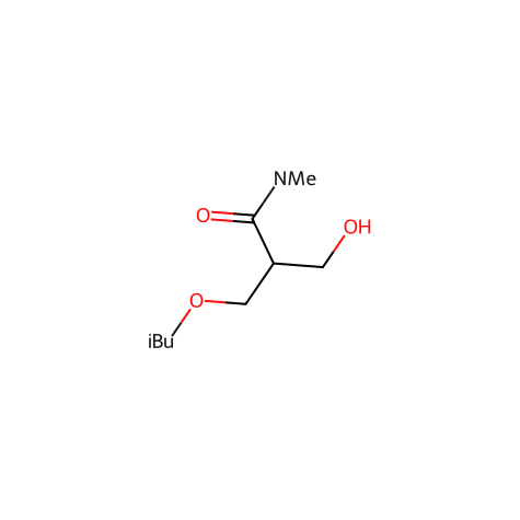 CCC(C)OCC(CO)C(=O)NC